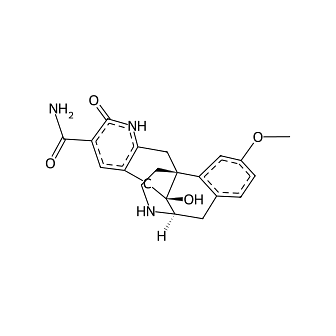 COc1ccc2c(c1)[C@]13CCN[C@H](C2)[C@]1(O)Cc1cc(C(N)=O)c(=O)[nH]c1C3